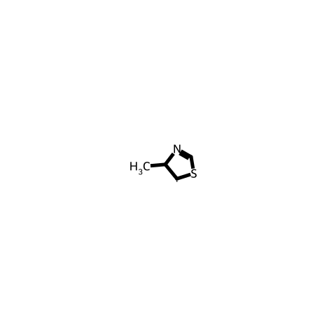 CC1[CH]SC=N1